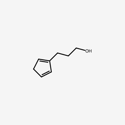 OCCCC1=CCC=C1